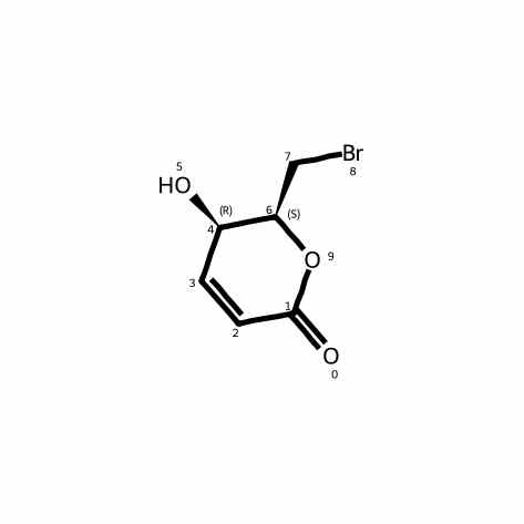 O=C1C=C[C@@H](O)[C@@H](CBr)O1